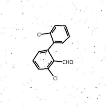 O=Cc1c(Cl)cccc1-c1ccccc1Cl